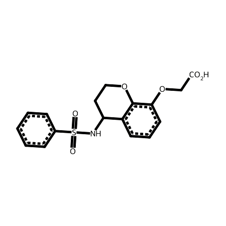 O=C(O)COc1cccc2c1OCCC2NS(=O)(=O)c1ccccc1